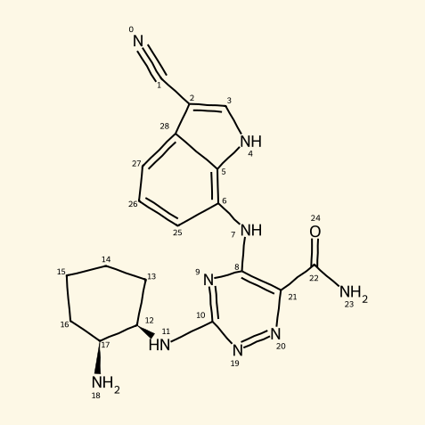 N#Cc1c[nH]c2c(Nc3nc(N[C@@H]4CCCC[C@@H]4N)nnc3C(N)=O)cccc12